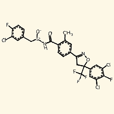 Cc1cc(C2=NOC(c3cc(Cl)c(F)c(Cl)c3)(C(F)(F)F)C2)ccc1C(=O)N[S+]([O-])Cc1ccc(F)c(Cl)c1